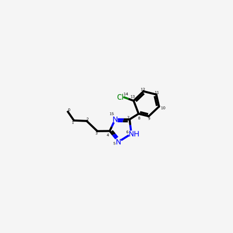 CCCCc1n[nH]c(-c2ccccc2Cl)n1